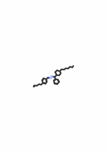 C=CCCCc1ccc(C=NN=C(c2ccccc2)C2CCC(CCCCCCC)CC2)cc1